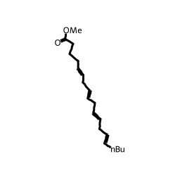 CCCCC=CCC=CCC=CCC=CCCCC(=O)OC